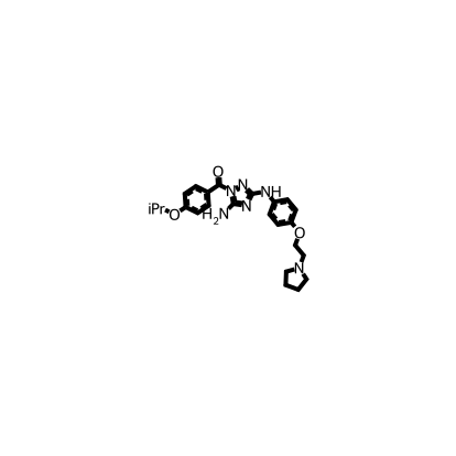 CC(C)Oc1ccc(C(=O)n2nc(Nc3ccc(OCCN4CCCC4)cc3)nc2N)cc1